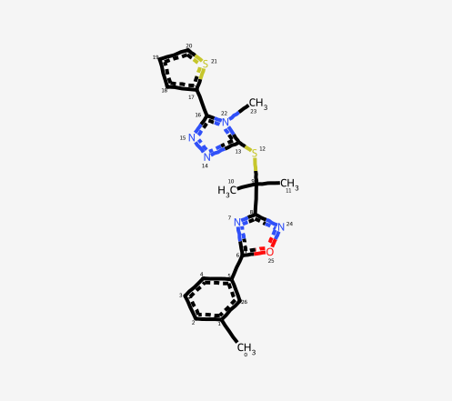 Cc1cccc(-c2nc(C(C)(C)Sc3nnc(-c4cccs4)n3C)no2)c1